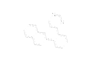 c1ccc2c(c1)ccc1c3ccccc3c3ncncc3c21